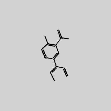 C=C/C(=C\C)c1ccc(C)c(C(=C)C)c1